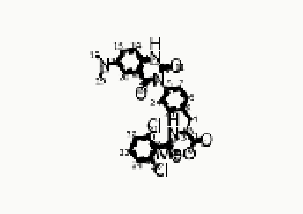 COC(=O)[C@H](Cc1ccc(-n2c(=O)[nH]c3ccc(N(C)C)cc3c2=O)cc1)NC(=O)c1c(Cl)cccc1Cl